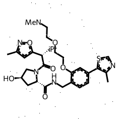 CNCCOCCOc1cc(-c2scnc2C)ccc1CNC(=O)[C@@H]1C[C@@H](O)CN1C(=O)[C@H](c1cc(C)no1)C(C)C